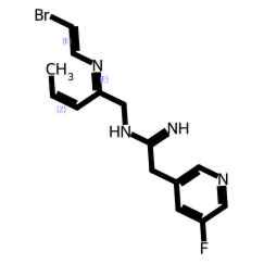 C\C=C/C(CNC(=N)Cc1cncc(F)c1)=N\C=C\Br